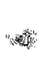 C=CCC(C)(O)C(=O)N(C(=O)C(C)O)C(=O)C(C)(O)CC=C